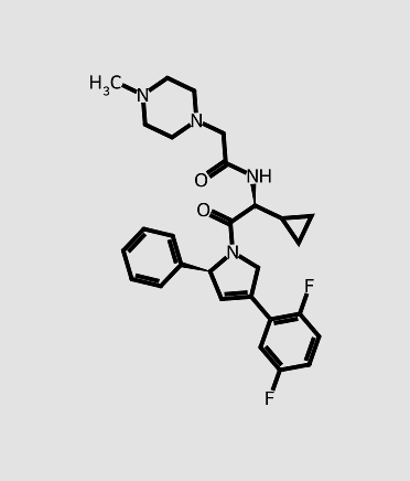 CN1CCN(CC(=O)N[C@H](C(=O)N2CC(c3cc(F)ccc3F)=C[C@H]2c2ccccc2)C2CC2)CC1